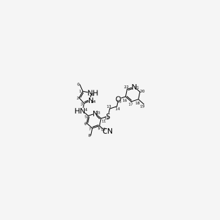 Cc1cc(Nc2cc(C)c(C#N)c(SCCOC3=CC(C)CN=C3)n2)n[nH]1